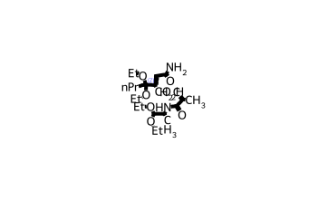 C=C(C)C(=O)NC(C)C(OCC)OCC.CCCC(OCC)(OCC)/C(=C/C(N)=O)C(=O)O